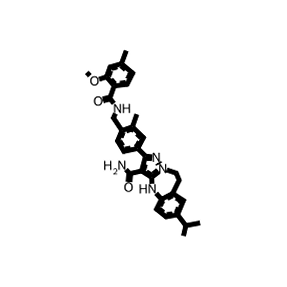 COc1cc(C)ccc1C(=O)NCc1ccc(-c2nn3c(c2C(N)=O)Nc2ccc(C(C)C)cc2CC3)cc1C